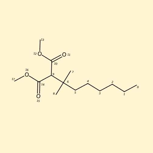 CCCCCCC(C)(C)C(C(=O)OC)C(=O)OC